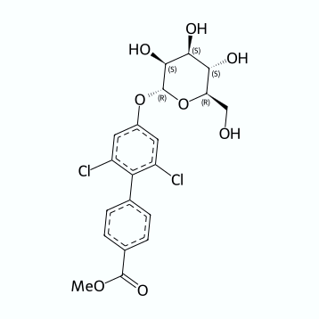 COC(=O)c1ccc(-c2c(Cl)cc(O[C@H]3O[C@H](CO)[C@@H](O)[C@H](O)[C@@H]3O)cc2Cl)cc1